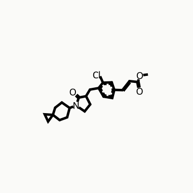 COC(=O)/C=C/c1ccc(CC2CCN(C3CCC4(CC3)CC4)C2=O)c(Cl)c1